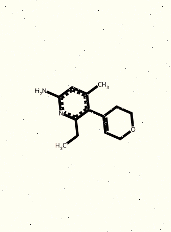 CCc1nc(N)cc(C)c1C1=CCOCC1